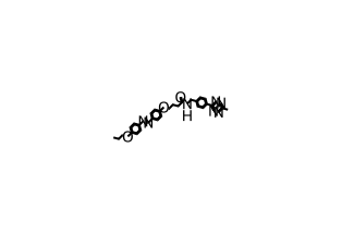 CCCOc1ccc(N=Nc2ccc(OCCCC(=O)NCc3ccc(-c4nnc(C)nn4)cc3)cc2)cc1